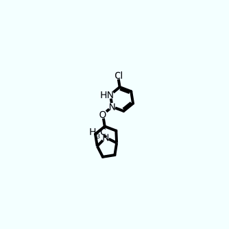 CN1C2CCC1CC(ON1C=CC=C(Cl)N1)C2